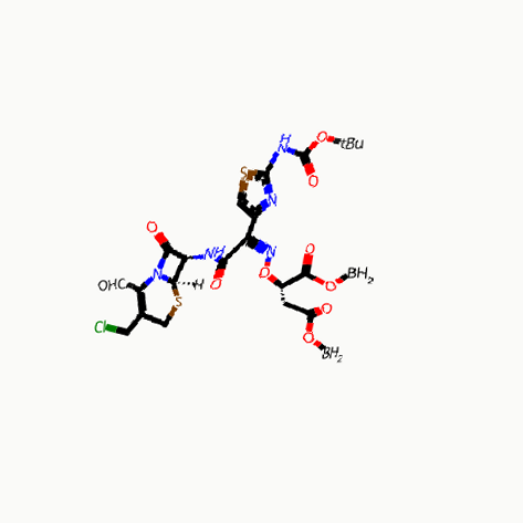 BOC(=O)C[C@H](O/N=C(\C(=O)N[C@@H]1C(=O)N2C(C=O)=C(CCl)CS[C@H]12)c1csc(NC(=O)OC(C)(C)C)n1)C(=O)OB